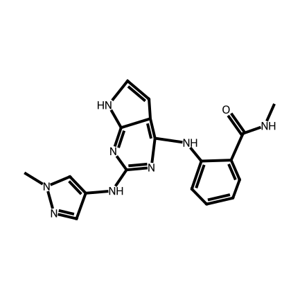 CNC(=O)c1ccccc1Nc1nc(Nc2cnn(C)c2)nc2[nH]ccc12